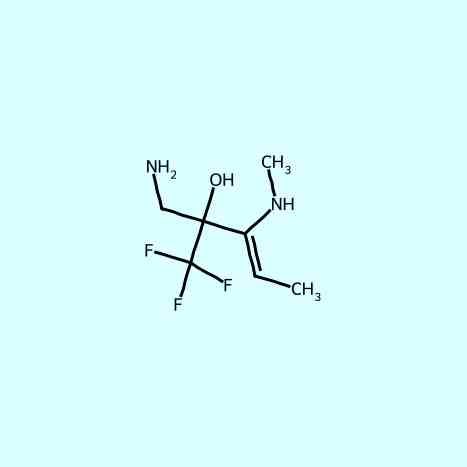 C/C=C(\NC)C(O)(CN)C(F)(F)F